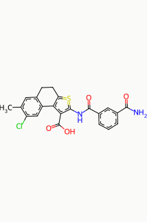 Cc1cc2c(cc1Cl)-c1c(sc(NC(=O)c3cccc(C(N)=O)c3)c1C(=O)O)CC2